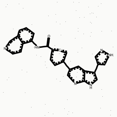 O=C(Nc1cccc2cnccc12)c1ccc(-c2cnc3[nH]cc(-c4cn[nH]c4)c3c2)cc1